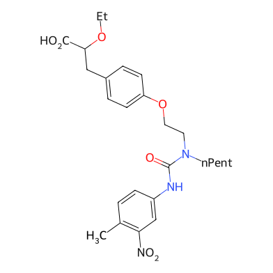 CCCCCN(CCOc1ccc(CC(OCC)C(=O)O)cc1)C(=O)Nc1ccc(C)c([N+](=O)[O-])c1